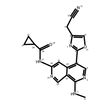 CNc1ncc(-c2nc(CC#N)co2)c2cc(NC(=O)C3CC3)ncc12